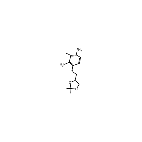 Cc1c(P)ccc(OCC2COC(C)(C)O2)c1N